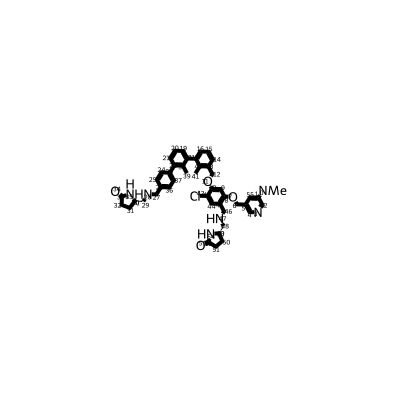 CNc1cncc(COc2cc(OCc3cccc(-c4cccc(-c5ccc(CNC[C@@H]6CCC(=O)N6)cc5)c4C)c3C)c(Cl)cc2CNC[C@@H]2CCC(=O)N2)c1